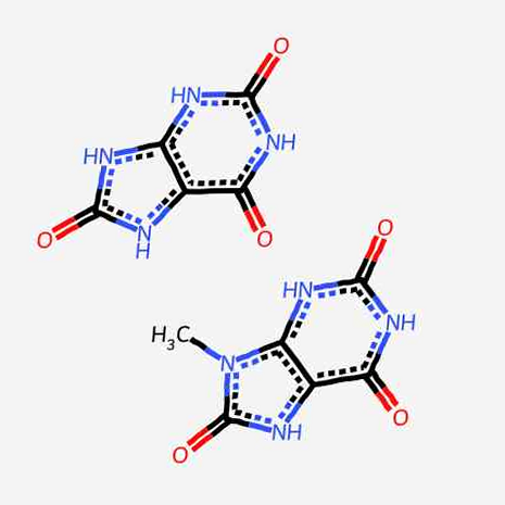 Cn1c(=O)[nH]c2c(=O)[nH]c(=O)[nH]c21.O=c1[nH]c(=O)c2[nH]c(=O)[nH]c2[nH]1